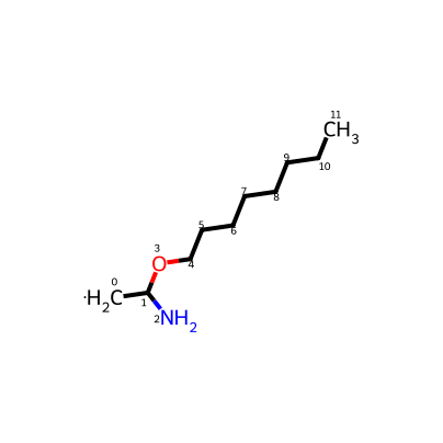 [CH2]C(N)OCCCCCCCC